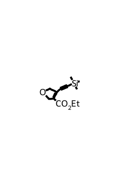 CCOC(=O)C1=C(C#C[Si](C)(C)C)COC1